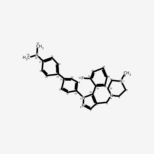 CN1CCN(Cc2cnn(-c3ccc(-c4ccc(N(C)C)cc4)cc3)c2-c2ccccc2F)CC1